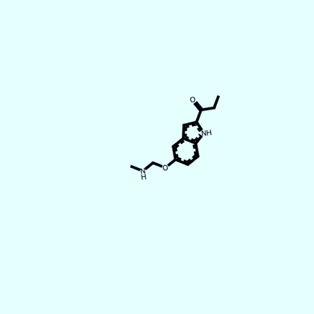 CCC(=O)c1cc2cc(OCNC)ccc2[nH]1